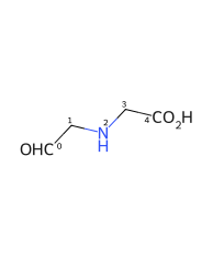 O=CCNCC(=O)O